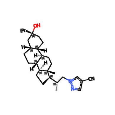 CC(C)[C@@]1(O)CC[C@H]2[C@H](CC[C@@H]3[C@@H]2CC[C@]2(C)[C@@H]([C@@H](C)Cn4cc(C#N)cn4)CC[C@@H]32)C1